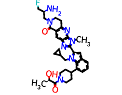 C[C@H](O)C(=O)N1CCC(c2cccc3cc(-c4nc5cc6c(nc5n4C)CCN(C[C@H](N)CF)C6=O)n(CC4CC4)c23)CC1